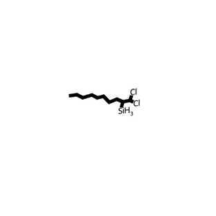 CCCCCCCCC([SiH3])C(Cl)Cl